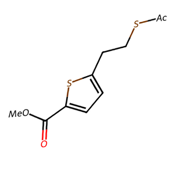 COC(=O)c1ccc(CCSC(C)=O)s1